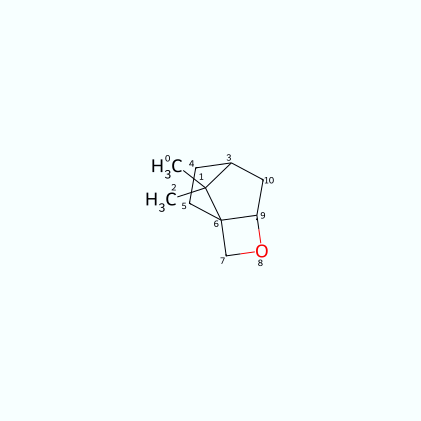 CC1(C)C2CCC13CO[C]3C2